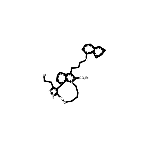 CCOC(=O)c1c(CCCOc2cccc3ccccc23)c2cccc3c2n1CCCCOCc1[nH]nc(CCO)c1-3